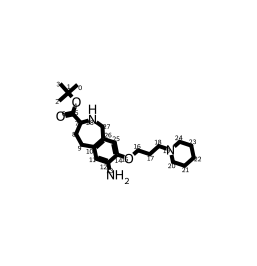 CC(C)(C)OC(=O)C1CCc2cc(N)c(OCCCN3CCCCC3)cc2CN1